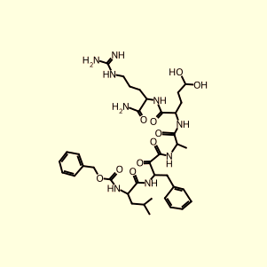 CC(C)CC(NC(=O)OCc1ccccc1)C(=O)NC(Cc1ccccc1)C(=O)C(=O)NC(C)C(=O)NC(CCC(O)O)C(=O)NC(CCCNC(=N)N)C(N)=O